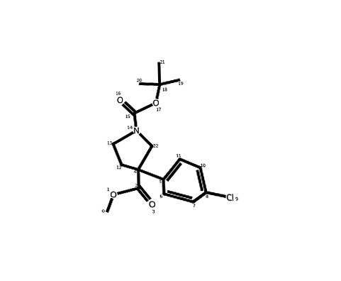 COC(=O)C1(c2ccc(Cl)cc2)CCN(C(=O)OC(C)(C)C)C1